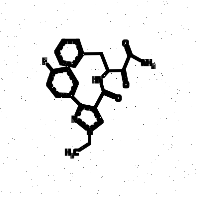 CCn1cc(C(=O)NC(Cc2ccccc2)C(=O)C(N)=O)c(-c2ccc(F)cc2)n1